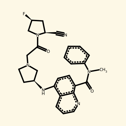 CN(C(=O)c1ccc(N[C@H]2CCN(CC(=O)N3C[C@@H](F)C[C@H]3C#N)C2)c2cccnc12)c1ccccc1